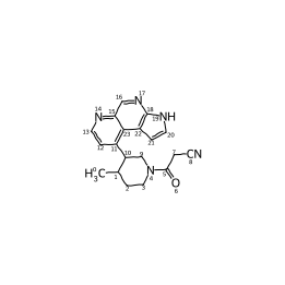 CC1CCN(C(=O)CC#N)CC1c1ccnc2cnc3[nH]ccc3c12